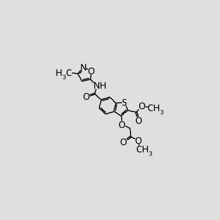 COC(=O)COc1c(C(=O)OC)sc2cc(C(=O)Nc3cc(C)no3)ccc12